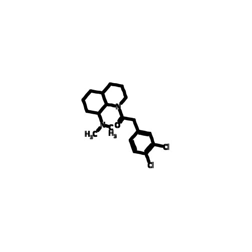 CN(C)C1CCCC2CCCN(C(=O)Cc3ccc(Cl)c(Cl)c3)C21